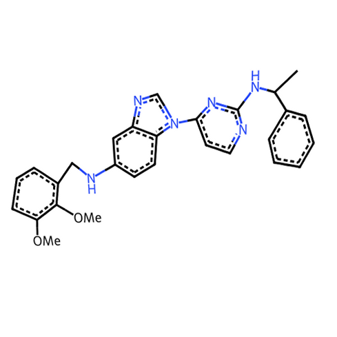 COc1cccc(CNc2ccc3c(c2)ncn3-c2ccnc(NC(C)c3ccccc3)n2)c1OC